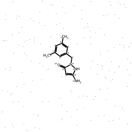 Cc1cc(C)cc(Cn2[nH]c(N)cc2=O)c1